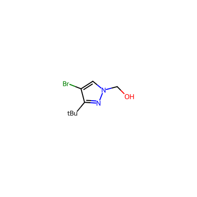 CC(C)(C)c1nn(CO)cc1Br